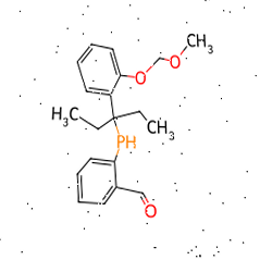 CCC(CC)(Pc1ccccc1C=O)c1ccccc1OCOC